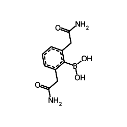 NC(=O)Cc1cccc(CC(N)=O)c1B(O)O